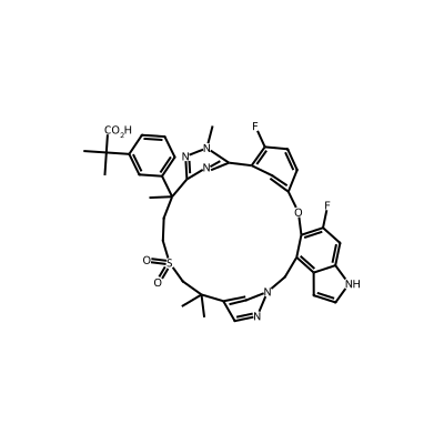 Cn1nc2nc1-c1cc(ccc1F)Oc1c(F)cc3[nH]ccc3c1Cn1cc(cn1)C(C)(C)CS(=O)(=O)CCC2(C)c1cccc(C(C)(C)C(=O)O)c1